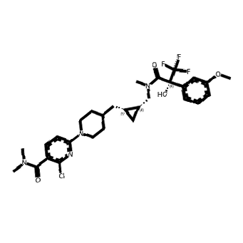 COc1cccc([C@@](O)(C(=O)N(C)C[C@@H]2C[C@@H]2CC2CCN(c3ccc(C(=O)N(C)C)c(Cl)n3)CC2)C(F)(F)F)c1